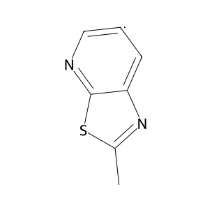 Cc1nc2c[c]cnc2s1